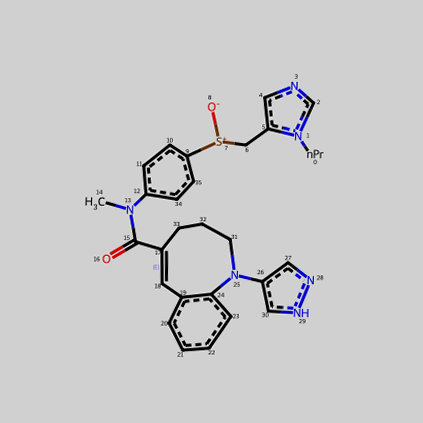 CCCn1cncc1C[S+]([O-])c1ccc(N(C)C(=O)/C2=C/c3ccccc3N(c3cn[nH]c3)CCC2)cc1